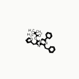 CC(C)(C)C(=O)Oc1c(Cc2ccco2)nc2c(Cc3ccccc3)nc(-c3ccccc3)cn12